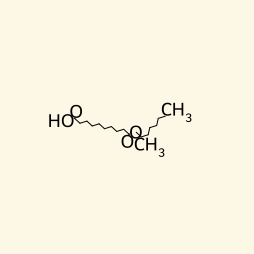 CCCCCCC(C)OC(=O)CCCCCCCCC(=O)O